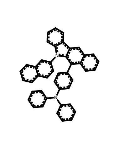 c1ccc(N(c2ccccc2)c2ccc(-c3c4ccccc4cc4c5ccccc5n(-c5ccc6ccccc6c5)c34)cc2)cc1